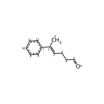 C/C(=C\CCC=O)c1ccccc1